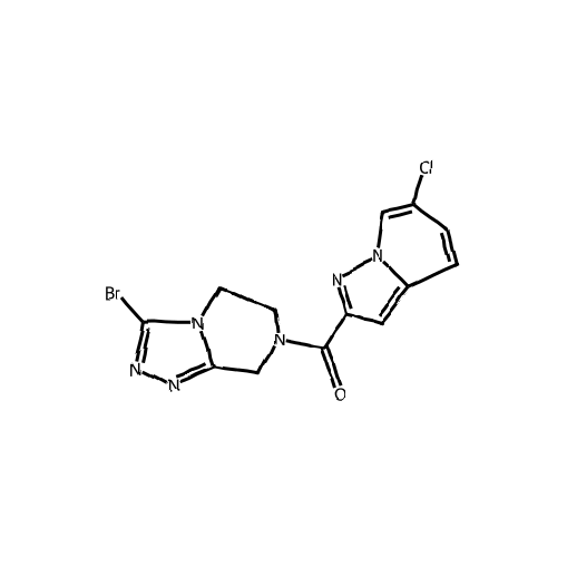 O=C(c1cc2ccc(Cl)cn2n1)N1CCn2c(Br)nnc2C1